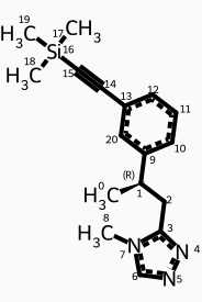 C[C@H](Cc1nncn1C)c1cccc(C#C[Si](C)(C)C)c1